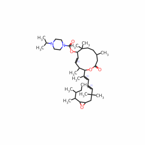 CCC(C)C(C)C1OC1CC(C)(C)/C=C/C=C(\C)C1OC(=O)CC(C)CCC(C)(C)C(OC(=O)N2CCN(C(C)C)CC2)/C=C/C1C